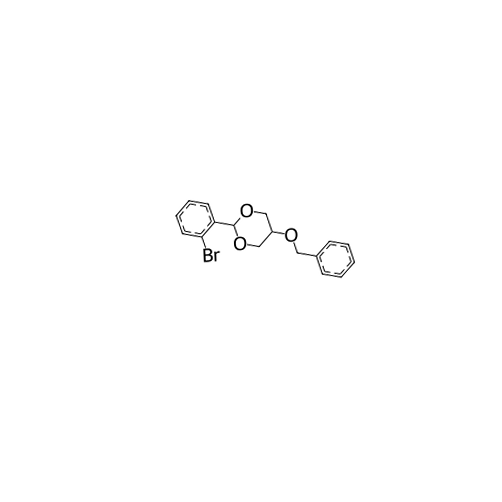 Brc1ccccc1C1OCC(OCc2ccccc2)CO1